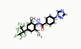 Cc1cc(C(F)(C(F)(F)F)C(F)(F)F)cc(C)c1NC(=O)c1ccc(-n2cncn2)cc1